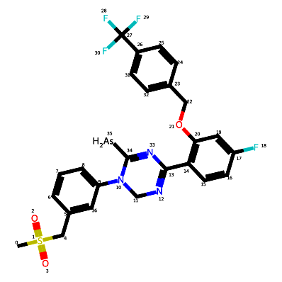 CS(=O)(=O)Cc1cccc(N2CN=C(c3ccc(F)cc3OCc3ccc(C(F)(F)F)cc3)N=C2[AsH2])c1